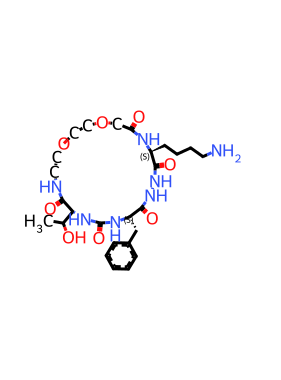 CC(O)C1NC(=O)N[C@@H](Cc2ccccc2)C(=O)NNC(=O)[C@H](CCCCN)NC(=O)COCCOCCNC1=O